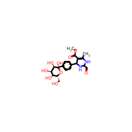 COC(=O)C1=C(C)NC(C=O)NC1c1ccc([C@@]2(O)O[C@H](CO)[C@@H](O)[C@@H](O)[C@H]2O)cc1